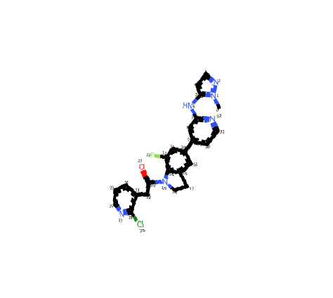 Cn1nccc1Nc1cc(-c2cc(F)c3c(c2)CCN3C(=O)Cc2cccnc2Cl)ccn1